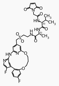 CC(C)[C@H](NC(=O)CN1C(=O)C=CC1=O)C(=O)N[C@@H](C)C(=O)NCCS(=O)(=O)Cc1cc2nc(c1)OCCCOc1cc(F)ccc1-c1cc(ncc1F)N2